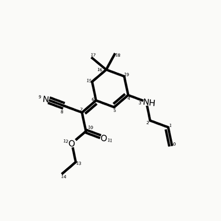 C=CCNC1=C/C(=C(/C#N)C(=O)OCC)CC(C)(C)C1